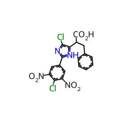 O=C(O)C(Cc1ccccc1)c1[nH]c(-c2cc([N+](=O)[O-])c(Cl)c([N+](=O)[O-])c2)nc1Cl